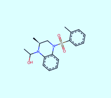 Cc1ccccc1S(=O)(=O)N1C[C@H](C)N(C(C)O)c2ccccc21